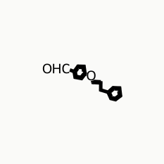 O=Cc1ccc(OC=CCc2ccccc2)cc1